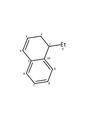 CCC1CC=Cc2ccccc21